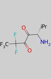 CC(C)[C@H](N)C(=O)C(=O)C(F)(F)C(F)(F)F